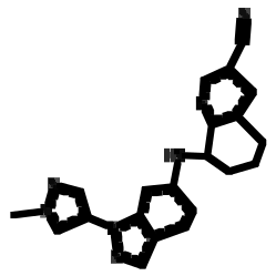 Cn1cc(-n2ncc3ccc(NC4CCCc5cc(C#N)cnc54)cc32)cn1